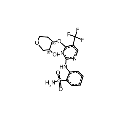 NS(=O)(=O)c1ccccc1Nc1ncc(C(F)(F)F)c(O[C@@H]2CCOC[C@@H]2O)n1